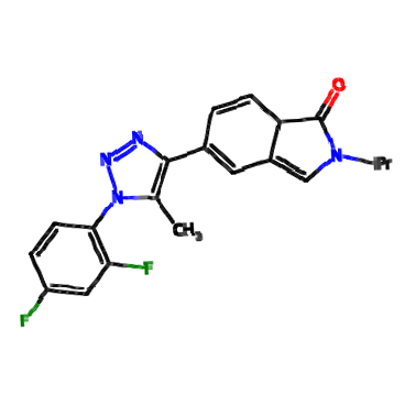 Cc1c(C2=CC3=CN(C(C)C)C(=O)C3C=C2)nnn1-c1ccc(F)cc1F